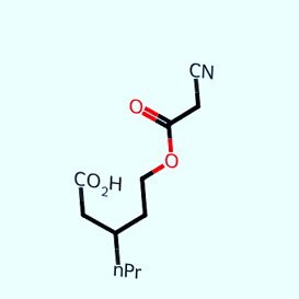 CCCC(CCOC(=O)CC#N)CC(=O)O